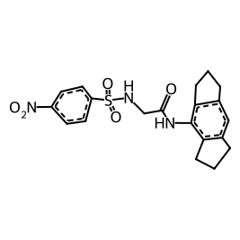 O=C(CNS(=O)(=O)c1ccc([N+](=O)[O-])cc1)Nc1c2c(cc3c1CCC3)CCC2